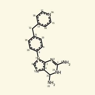 NC1=Nc2c(ncn2-c2ccc(Cc3ccncc3)cc2)C(N)N1